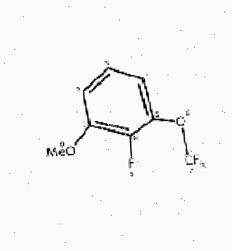 COc1cccc(OC(F)(F)F)c1F